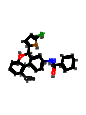 COc1cccc2c1-c1ccc(NC(=O)c3ccccc3)cc1C(c1ccc(Br)s1)O2